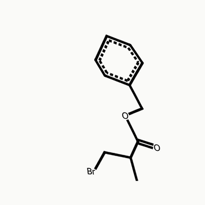 CC(CBr)C(=O)OCc1ccccc1